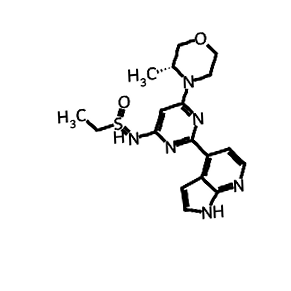 CC/[SH](=O)=N/c1cc(N2CCOC[C@H]2C)nc(-c2ccnc3[nH]ccc23)n1